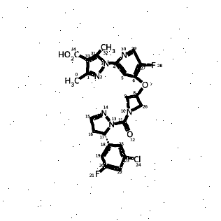 Cc1nn(-c2cc(OC3CN(C(=O)N4N=CC[C@H]4c4cc(F)cc(Cl)c4)C3)c(F)cn2)c(C)c1C(=O)O